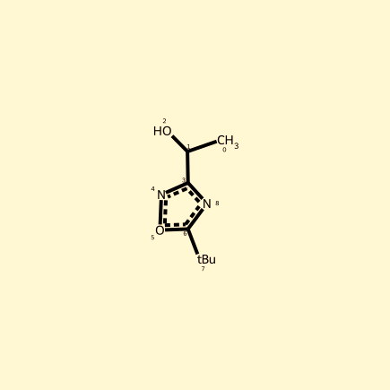 CC(O)c1noc(C(C)(C)C)n1